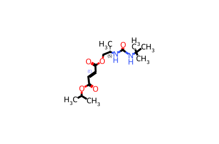 CC(C)OC(=O)/C=C/C(=O)OC[C@H](C)NC(=O)NC(C)(C)C